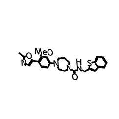 COc1cc(N2CCCN(C(=O)NCc3cc4ccccc4s3)CC2)ccc1-c1cnc(C)o1